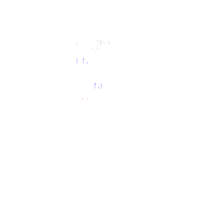 CC(C)(C)OC(=O)NCCNC(=O)OCc1cccc2c1Cc1ccccc1-2